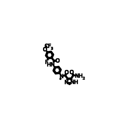 CN(C(=O)c1nc[nH]c1C(N)=O)c1ccc(NC(=O)c2ccc(OC(F)(F)F)cc2F)cc1